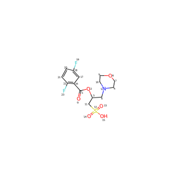 O=C(OC(CN1CCOCC1)CS(=O)(=O)O)c1cc(F)ccc1F